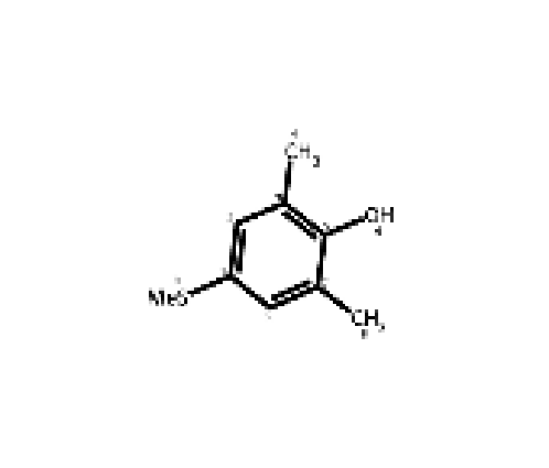 CSc1cc(C)c(O)c(C)c1